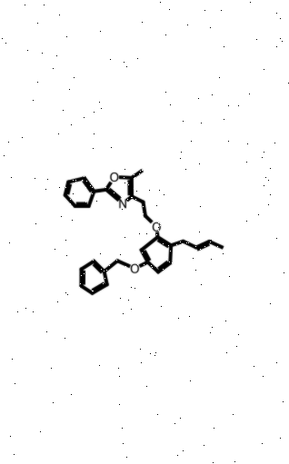 CC=CCc1ccc(OCc2ccccc2)cc1OCCc1nc(-c2ccccc2)oc1C